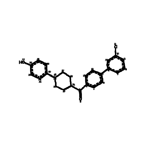 O=C(c1ccc(-c2cccc(Cl)c2)cc1)C1CCN(c2ccc(O)cn2)CC1